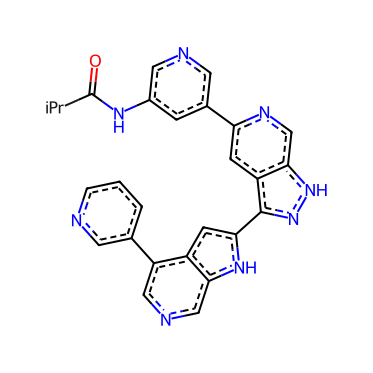 CC(C)C(=O)Nc1cncc(-c2cc3c(-c4cc5c(-c6cccnc6)cncc5[nH]4)n[nH]c3cn2)c1